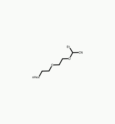 CCCCCCCCOCCOC(C#N)CC